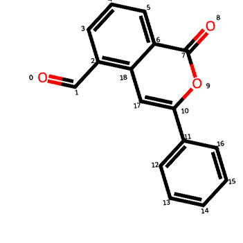 O=Cc1cccc2c(=O)oc(-c3ccccc3)cc12